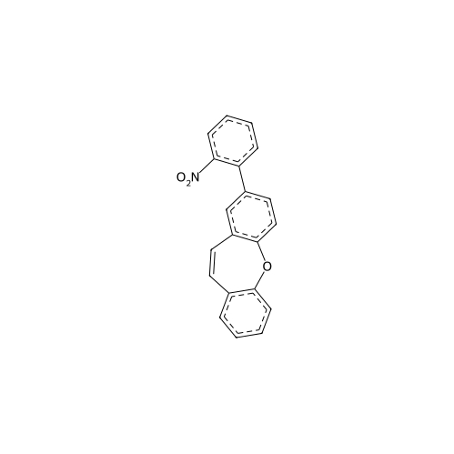 O=[N+]([O-])c1ccccc1-c1ccc2c(c1)C=Cc1ccccc1O2